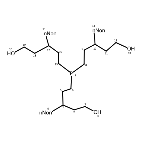 CCCCCCCCCC(CCO)CCP(CCC(CCO)CCCCCCCCC)CCC(CCO)CCCCCCCCC